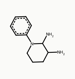 NC1CCCN(c2ccccc2)C1N